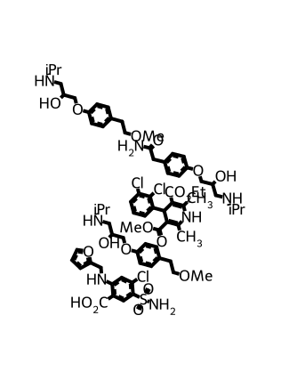 CC(C)NCC(O)COc1ccc(CC(N)=O)cc1.CCOC(=O)C1=C(C)NC(C)=C(C(=O)OC)C1c1cccc(Cl)c1Cl.COCCc1ccc(OCC(O)CNC(C)C)cc1.COCCc1ccc(OCC(O)CNC(C)C)cc1.NS(=O)(=O)c1cc(C(=O)O)c(NCc2ccco2)cc1Cl